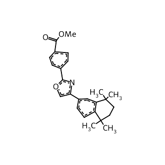 COC(=O)c1ccc(-c2nc(-c3ccc4c(c3)C(C)(C)CCC4(C)C)co2)cc1